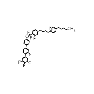 CCCCCc1ccc(CCCCc2ccc(C(F)(F)Oc3ccc(-c4ccc(-c5cc(F)c(F)c(F)c5)c(F)c4)cc3)c(F)c2)nc1